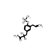 C=CCc1cc(CC(CC)(CC)C(N)=O)ccc1OS(=O)(=O)C(F)(F)F